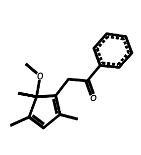 COC1(C)C(C)=CC(C)=C1CC(=O)c1ccccc1